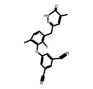 Cc1cc(Cc2ccc(I)c(Oc3cc(C#N)cc(C#N)c3)c2F)n[nH]c1=O